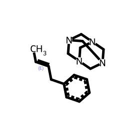 C/C=C/Cc1ccccc1.C1N2CN3CN1CN(C2)C3